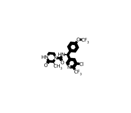 C[C@@H]1C(=O)NCCN1C(=O)N[C@@H](c1ccc(OC(F)(F)F)cc1)c1cnc(C(F)(F)F)c(Cl)c1